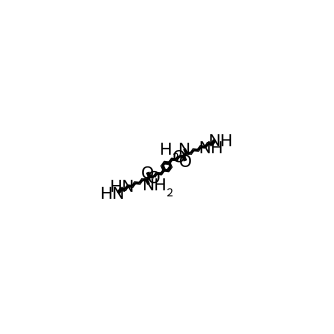 N=CCNCCCCC(N)C(=O)OCCc1ccc(CCOC(=O)C(N)CCCCNCC=N)cc1